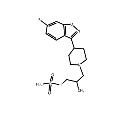 CC(COS(C)(=O)=O)CN1CCC(c2noc3cc(F)ccc23)CC1